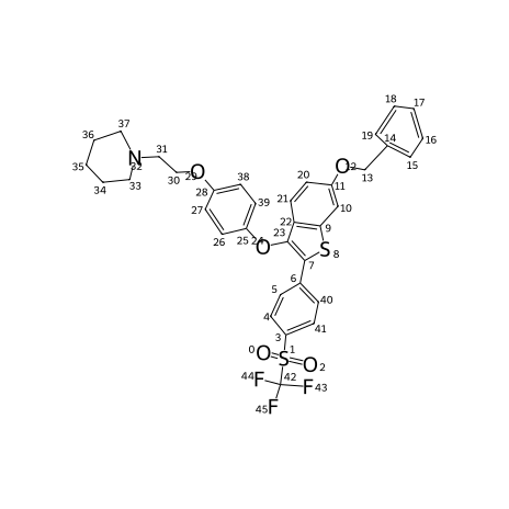 O=S(=O)(c1ccc(-c2sc3cc(OCc4ccccc4)ccc3c2Oc2ccc(OCCN3CCCCC3)cc2)cc1)C(F)(F)F